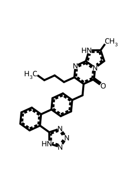 CCCCc1nc2[nH]c(C)cn2c(=O)c1Cc1ccc(-c2ccccc2-c2nnn[nH]2)cc1